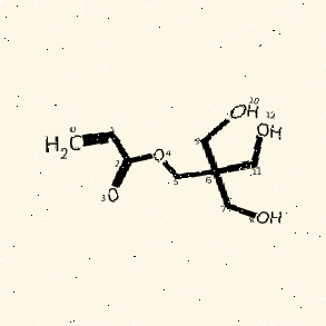 C=CC(=O)OCC(CO)(CO)CO